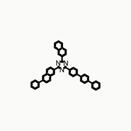 c1ccc(-c2ccc(-c3ccc(-c4nc(-c5ccc6ccccc6c5)nc(-c5ccc6cc(-c7ccccc7)ccc6c5)n4)cc3)cc2)cc1